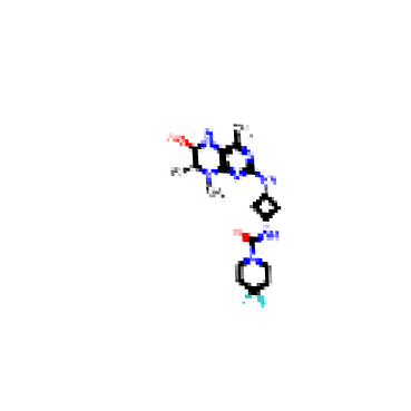 Cc1nc(N[C@H]2C[C@@H](NC(=O)N3CCC(F)(F)CC3)C2)nc2c1NC(O)[C@H](C(C)C)N2C